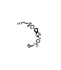 O=C(OCC1CCC1)N1CCC(Oc2nc3ccc(C4CCN(S(=O)(=O)CCCO)CC4)cc3s2)CC1